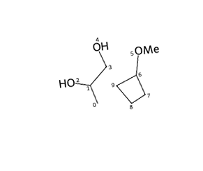 CC(O)CO.COC1CCC1